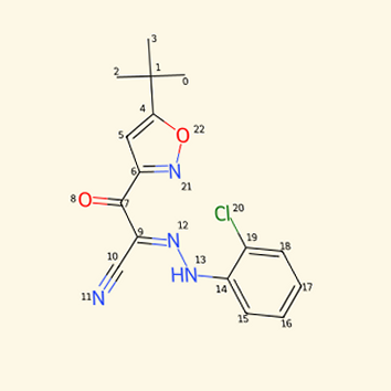 CC(C)(C)c1cc(C(=O)/C(C#N)=N/Nc2ccccc2Cl)no1